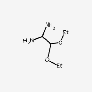 CCOC(OCC)C(N)N